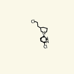 ClCCC1CCCN(c2ccc(Cl)nn2)C1